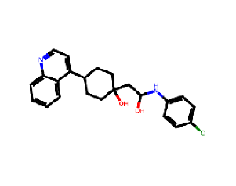 OC(CC1(O)CCC(c2ccnc3ccccc23)CC1)Nc1ccc(Cl)cc1